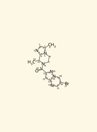 Cc1cnc2n1CCN(C(=O)c1cc3ncc(Br)cn3n1)C2C